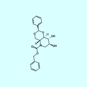 O=C(OCc1ccccc1)N1C[C@H](O)[C@@H](O)[C@@H]2O[C@H](c3ccccc3)OC[C@H]21